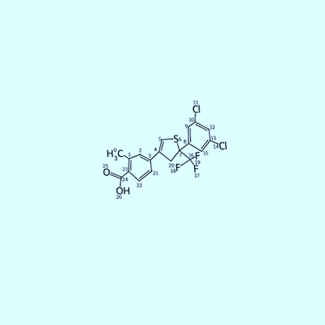 Cc1cc(C2=CSC(c3cc(Cl)cc(Cl)c3)(C(F)(F)F)C2)ccc1C(=O)O